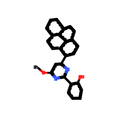 CC(C)Oc1cc(-c2ccc3ccc4cccc5ccc2c3c45)nc(-c2ccccc2O)n1